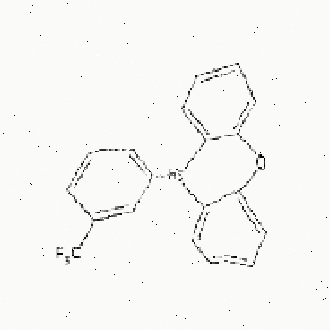 FC(F)(F)c1cccc([SH]2c3ccccc3Oc3ccccc32)c1